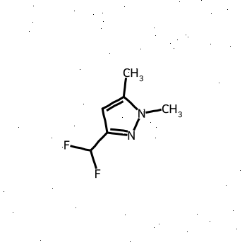 Cc1cc(C(F)F)nn1C